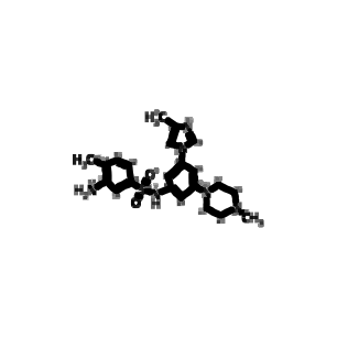 Cc1cn(-c2cc(NS(=O)(=O)c3ccc(C)c(N)c3)cc(N3CCN(C)CC3)c2)cn1